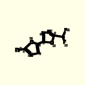 CCc1ncc(-c2nnc(C(F)F)o2)o1